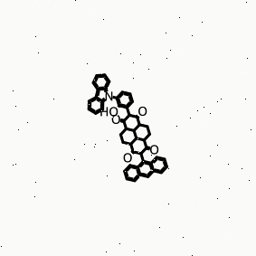 O=C1C(c2cccc(-n3c4ccccc4c4ccccc43)c2O)C(=O)C2CCC3C(=O)C(c4c5ccccc5cc5ccccc45)C(=O)C4CCC1C2C43